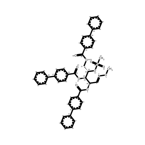 CON=C[C@@H](OC(=O)c1ccc(-c2ccccc2)cc1)[C@@H](OC(=O)c1ccc(-c2ccccc2)cc1)[C@H](COC(=O)c1ccc(-c2ccccc2)cc1)OS(C)(=O)=O